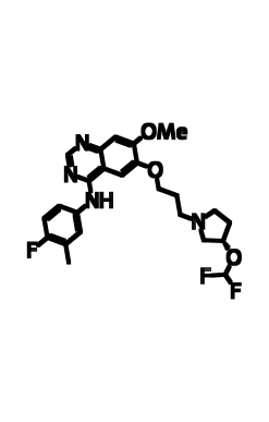 COc1cc2ncnc(Nc3ccc(F)c(C)c3)c2cc1OCCCN1CC[C@@H](OC(F)F)C1